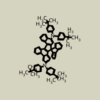 CC(C)(C)c1ccc(N(c2ccc(C(C)(C)C)cc2)c2ccc3c4c(c5ccccc5c3c2)-c2c(cc(N(c3ccc(C(C)(C)C)cc3)c3ccc(C(C)(C)C)cc3)c3ccccc23)C42c3ccccc3-c3ccccc32)cc1